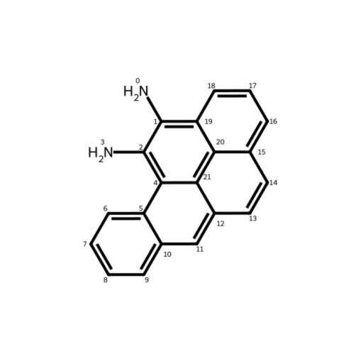 Nc1c(N)c2c3ccccc3cc3ccc4cccc1c4c32